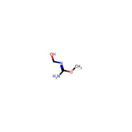 COC(N)=NCO